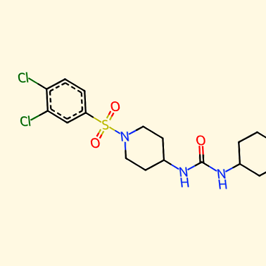 O=C(NC1CCCCC1)NC1CCN(S(=O)(=O)c2ccc(Cl)c(Cl)c2)CC1